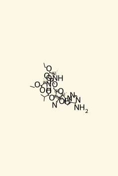 CCOC(=O)[C@H](C)NP(=O)(N[C@@H](C)C(=O)OCC)OC[C@H]1O[C@@](C)(c2ccc3c(N)ncnn23)[C@@](O)(C#N)[C@@H]1OC(=O)C(C)C